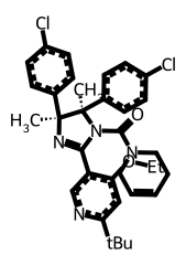 CCOc1cc(C(C)(C)C)ncc1C1=N[C@@](C)(c2ccc(Cl)cc2)[C@@](C)(c2ccc(Cl)cc2)N1C(=O)N1CC=CCC1